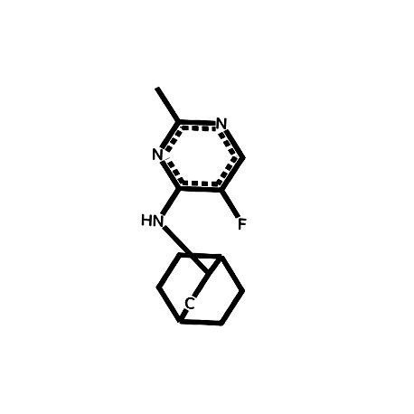 Cc1ncc(F)c(NC2CC3CCC2CC3)n1